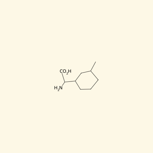 CC1CCCC(C(N)C(=O)O)C1